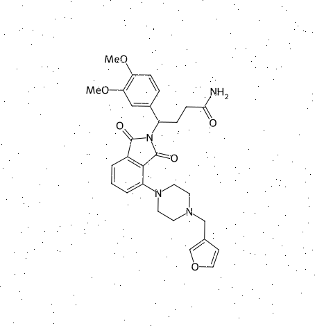 COc1ccc(C(CCC(N)=O)N2C(=O)c3cccc(N4CCN(Cc5ccoc5)CC4)c3C2=O)cc1OC